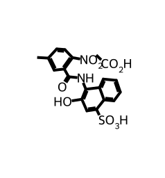 CC(=O)O.Cc1ccc([N+](=O)[O-])c(C(=O)Nc2c(O)cc(S(=O)(=O)O)c3ccccc23)c1